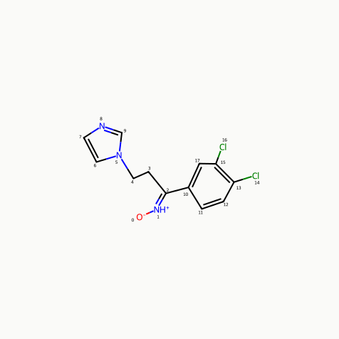 [O-][NH+]=C(CCn1ccnc1)c1ccc(Cl)c(Cl)c1